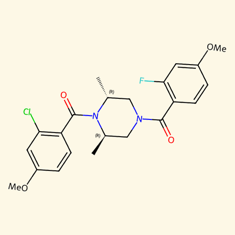 COc1ccc(C(=O)N2C[C@@H](C)N(C(=O)c3ccc(OC)cc3Cl)[C@H](C)C2)c(F)c1